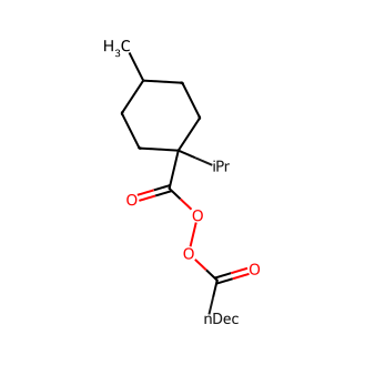 CCCCCCCCCCC(=O)OOC(=O)C1(C(C)C)CCC(C)CC1